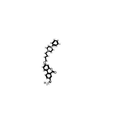 COc1ccc2c(c1)c(=O)oc1cc(OCCCCN3CCN(c4ccccc4)CC3)ccc12